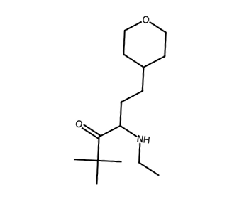 CCNC(CCC1CCOCC1)C(=O)C(C)(C)C